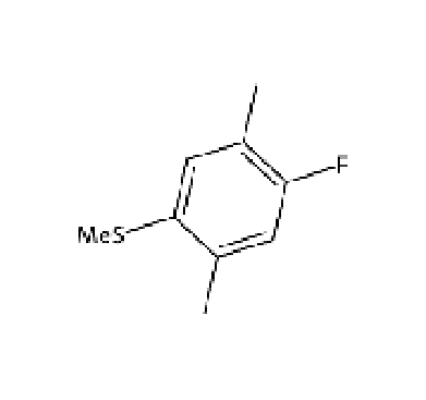 CSc1cc(C)c(F)cc1C